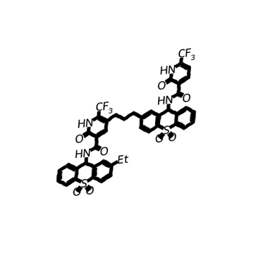 CCc1ccc2c(c1)C(NC(=O)c1cc(CCCc3ccc4c(c3)C(NC(=O)c3ccc(C(F)(F)F)[nH]c3=O)c3ccccc3S4(=O)=O)c(C(F)(F)F)[nH]c1=O)c1ccccc1S2(=O)=O